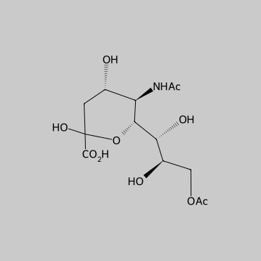 CC(=O)N[C@H]1[C@H]([C@H](O)[C@H](O)COC(C)=O)OC(O)(C(=O)O)C[C@@H]1O